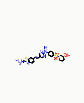 Nc1nc2ccc(/C=C/c3cnc(Nc4ccc(S(=O)(=O)N5CCCC(O)C5)cc4)nc3)cc2s1